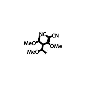 COC(=C(C#N)C#N)C(C(C)OC)C(C)OC